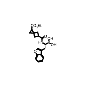 CCOC(=O)C1CC12CC(C(=O)N[C@@H](Cc1coc3ccccc13)B(O)O)C2